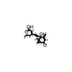 CCC/C(C#CC1(O)C(C)=CC(=O)C2CC21C)=C\C(=O)O